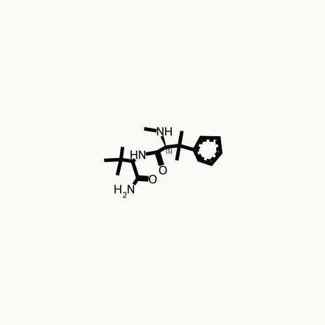 CN[C@H](C(=O)NC(C(N)=O)C(C)(C)C)C(C)(C)c1ccccc1